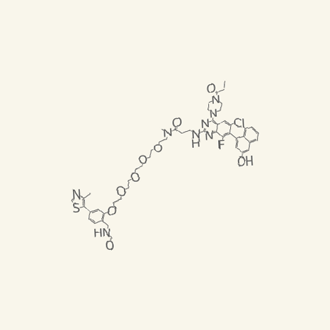 CCC(=O)N1CCN(c2nc(NCCC(=O)N(C)CCOCCOCCOCCOCCOc3cc(-c4scnc4C)ccc3CNC=O)nc3c(F)c(-c4cc(O)cc5ccccc45)c(Cl)cc23)CC1